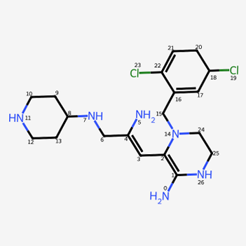 NC1=C(/C=C(\N)CNC2CCNCC2)N(CC2=CC(Cl)CC=C2Cl)CCN1